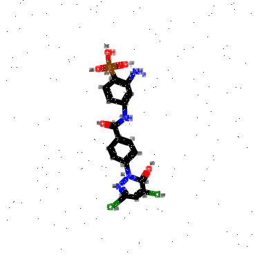 Nc1cc(NC(=O)c2ccc(-n3nc(Cl)cc(Cl)c3=O)cc2)ccc1S(=O)(=O)O